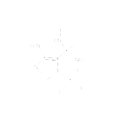 CCNC(C)(N)C1=C(N)NCC1C(F)(F)F